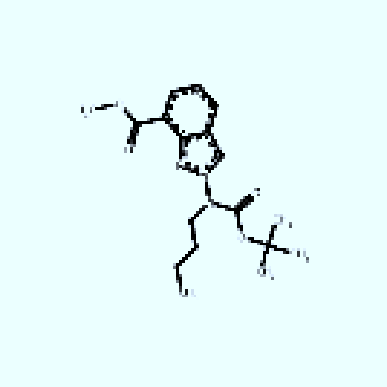 CCCCN(C(=O)OC(C)(C)C)n1cc2cccc(C(=O)OC)c2n1